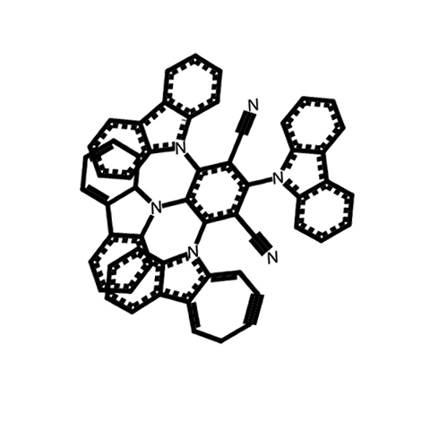 N#Cc1c(-n2c3c(c4ccccc42)=CCC#CC=3)c(N2c3ccccc3C3=CC=CCC32)c(-n2c3ccccc3c3ccccc32)c(C#N)c1-n1c2ccccc2c2ccccc21